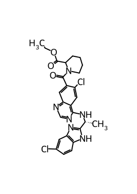 CCOC(=O)C1CCCCN1C(=O)c1cc2ncnc(N[C@H](C)c3nc4cc(Cl)ccc4[nH]3)c2cc1Cl